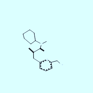 C=C(Cc1cccc(CO)n1)C(=O)N(C)C1CCCCC1